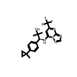 CC1(c2ccc([C@H](Nc3cc(C(F)(F)F)nc4ncnn34)C(C)(C)O)cc2)CC1